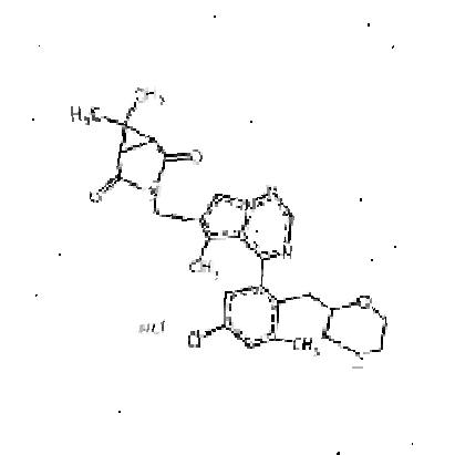 Cc1cc(Cl)cc(-c2ncnn3cc(CN4C(=O)C5C(C4=O)C5(C)C)c(C)c23)c1C[C@@H]1CNCCO1.Cl